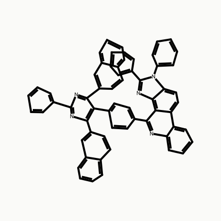 c1ccc(-c2nc(-c3ccc4ccccc4c3)c(-c3ccc(-c4nc5ccccc5c5ccc6c(nc(-c7ccccc7)n6-c6ccccc6)c45)cc3)c(-c3ccc4ccccc4c3)n2)cc1